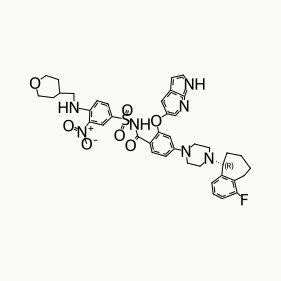 O=C(NS(=O)(=O)c1ccc(NCC2CCOCC2)c([N+](=O)[O-])c1)c1ccc(N2CCN([C@@H]3CCCCc4c(F)cccc43)CC2)cc1Oc1cnc2[nH]ccc2c1